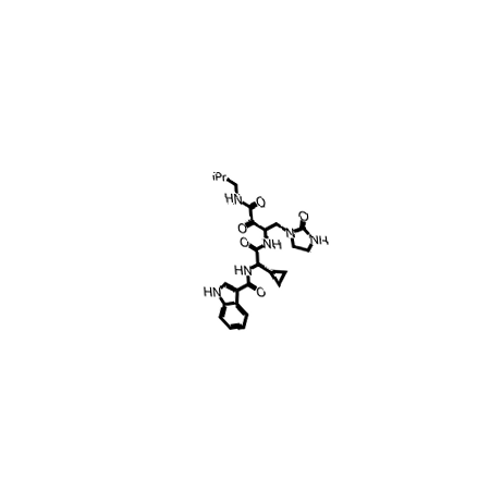 CC(C)CNC(=O)C(=O)C(CN1CCNC1=O)NC(=O)C(NC(=O)c1c[nH]c2ccccc12)C1CC1